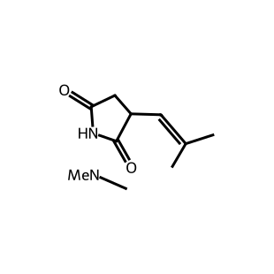 CC(C)=CC1CC(=O)NC1=O.CNC